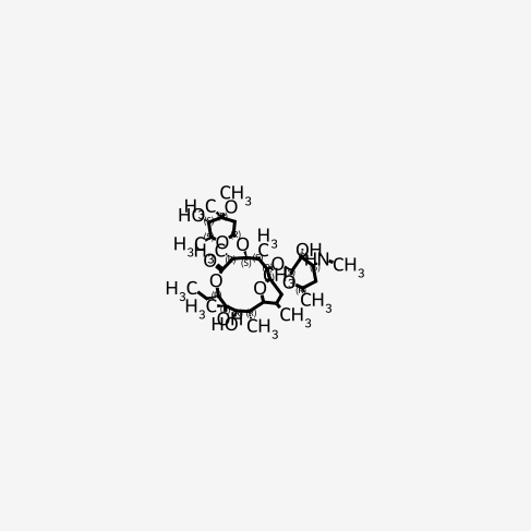 CC[C@H]1OC(=O)[C@H](C)[C@@H](O[C@H]2C[C@@](C)(OC)[C@@H](O)[C@H](C)O2)[C@H](C)[C@@H](O[C@@H]2O[C@H](C)C[C@H](NC)[C@H]2O)[C@]2(C)CC(C)C(O2)[C@H](C)[C@@H](O)[C@]1(C)O